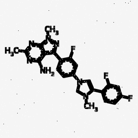 Cc1nc(N)c2c(-c3ccc(N4C=C(c5ccc(F)cc5F)N(C)C4)cc3F)nn(C)c2n1